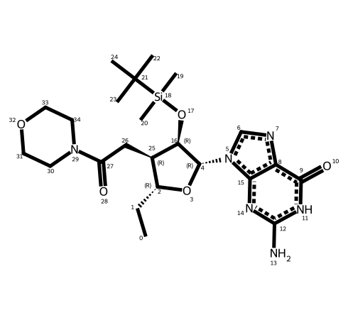 CC[C@H]1O[C@@H](n2cnc3c(=O)[nH]c(N)nc32)[C@H](O[Si](C)(C)C(C)(C)C)[C@@H]1CC(=O)N1CCOCC1